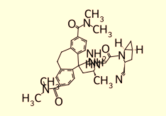 C[C@@H](CC1(C(=N)N)c2ccc(C(=O)N(C)C)cc2CCc2cc(C(=O)N(C)C)ccc21)NCC(=O)N1[C@H](C#N)C[C@@H]2C[C@@H]21